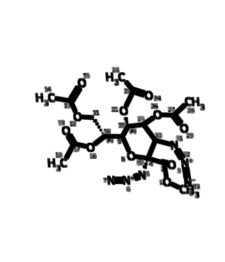 COC(=O)[C@@]1(N=[N+]=[N-])OC([C@@H](COC(C)=O)OC(C)=O)[C@H](OC(C)=O)C(OC(C)=O)C1N=[N+]=[N-]